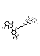 CC(C)(C)OC(=O)COCCCOc1cc(C(F)(F)F)ccc1-c1cc(=O)c2cccc(Cl)c2o1